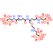 N[C@@H](CCC(=O)N[C@@H](CCC(=O)NCCC(O)(P(=O)(O)O)P(=O)(O)O)COCCNCCC(O)(P(=O)(O)O)P(=O)(O)O)C(=O)NCCC(O)(P(=O)(O)O)P(=O)(O)O